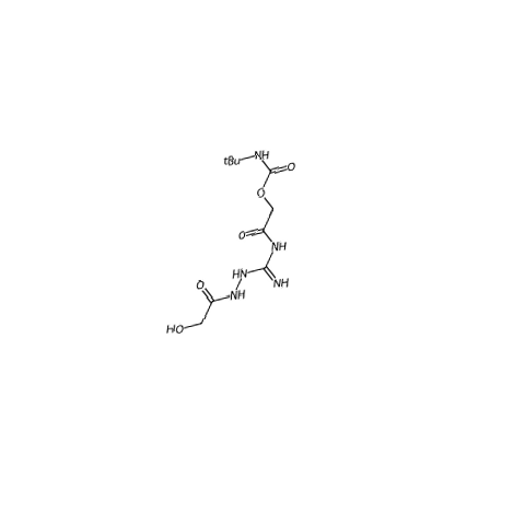 CC(C)(C)NC(=O)OCC(=O)NC(=N)NNC(=O)CO